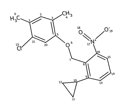 Cc1cc(C)c(OCc2c(C3CC3)cccc2[N+](=O)[O-])cc1Cl